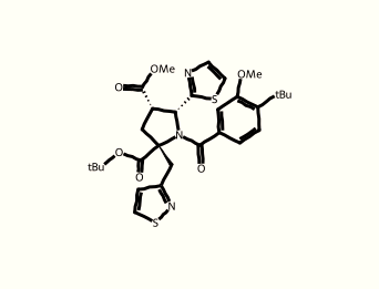 COC(=O)[C@H]1C[C@@](Cc2ccsn2)(C(=O)OC(C)(C)C)N(C(=O)c2ccc(C(C)(C)C)c(OC)c2)[C@H]1c1nccs1